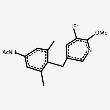 COc1ncc(Cc2c(C)cc(NC(C)=O)cc2C)cc1C(C)C